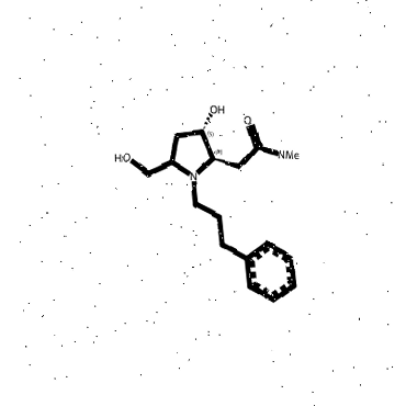 CNC(=O)C[C@@H]1[C@@H](O)CC(CO)N1CCCc1ccccc1